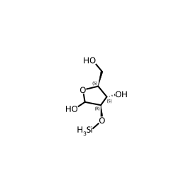 OC[C@@H]1OC(O)[C@H](O[SiH3])[C@H]1O